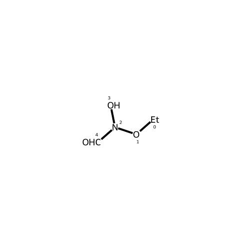 CCON(O)C=O